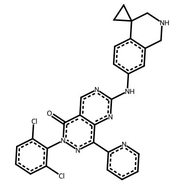 O=c1c2cnc(Nc3ccc4c(c3)CNCC43CC3)nc2c(-c2ccccn2)nn1-c1c(Cl)cccc1Cl